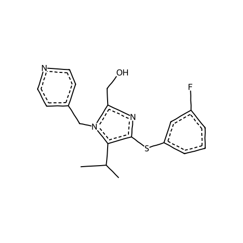 CC(C)c1c(Sc2cccc(F)c2)nc(CO)n1Cc1ccncc1